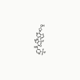 O=C(Nc1ccnc(C(F)(F)F)c1)c1cnn(-c2cnc(N3CC(O)C3)c3sccc23)c1C(F)(F)F